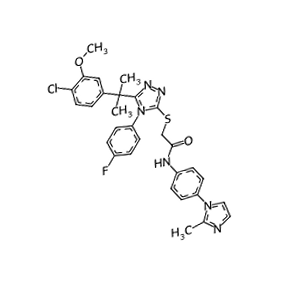 COc1cc(C(C)(C)c2nnc(SCC(=O)Nc3ccc(-n4ccnc4C)cc3)n2-c2ccc(F)cc2)ccc1Cl